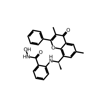 Cc1cc([C@@H](C)Nc2ccccc2C(=O)NO)c2oc(-c3ccccc3)c(C)c(=O)c2c1